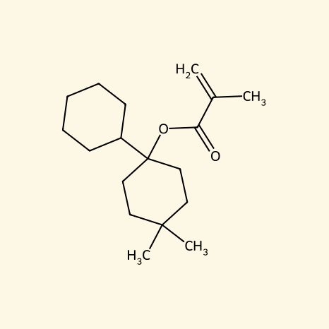 C=C(C)C(=O)OC1(C2CCCCC2)CCC(C)(C)CC1